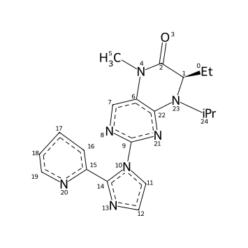 CC[C@@H]1C(=O)N(C)c2cnc(-n3ccnc3-c3ccccn3)nc2N1C(C)C